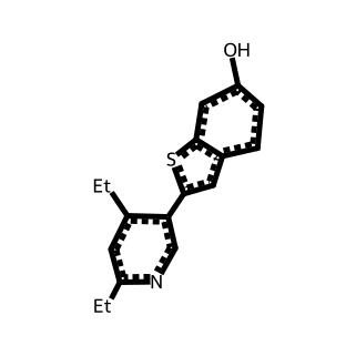 CCc1cc(CC)c(-c2cc3ccc(O)cc3s2)cn1